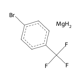 FC(F)(F)c1ccc(Br)cc1.[MgH2]